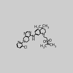 CN(C)S(=O)(=O)CCN1CCC(C)(C)c2ccc(Nc3ncnc4c3CCN(c3ncccc3Cl)C4)cc21